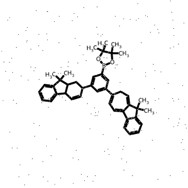 CC1(C)C2=CCC(c3cc(B4OC(C)(C)C(C)(C)O4)cc(C4C=CC5c6ccccc6C(C)(C)C5C4)c3)=CC=C2c2ccccc21